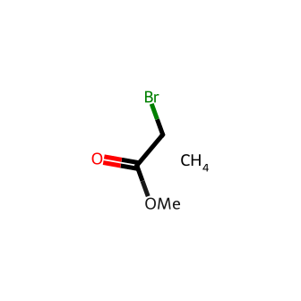 C.COC(=O)CBr